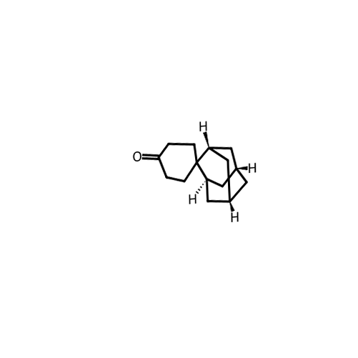 O=C1CCC2(CC1)[C@H]1C[C@H]3C[C@H](C1)C[C@H]2C3